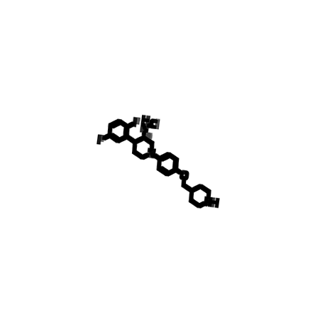 Fc1ccc(F)c(C2CCN(c3ccc(OCC4CCNCC4)cc3)C[C@@H]2NCl)c1